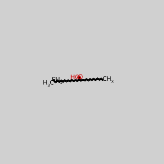 CCCCCCCCCCCCCCC(CCCCCCCCCCCCCC(C)C)C(=O)O